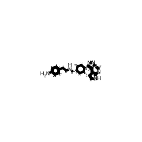 Nc1ccc(CCNC[C@H]2CC[C@H](c3nnn4cnc5[nH]ccc5c34)CC2)cc1